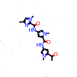 CC(=O)c1cc(NC(=O)c2cc(NC(=O)c3nc(C)cn3C)cn2C)cn1C